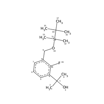 CC(C)(O)c1cccc(CO[Si](C)(C)C(C)(C)C)c1F